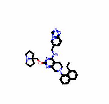 CCc1cccc2cccc(N3CCc4c(nc(OCC56CCCN5CCC6)nc4NCc4ccc5nncn5c4)C3)c12